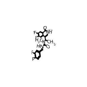 CC(c1c[nH]c(=O)c2cc(F)c(F)cc12)N(C)C(=O)NCc1ccc(F)c(F)c1